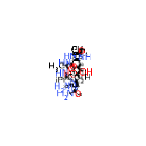 CC(C)[C@H](NC(=O)[C@H](C)NC(=O)[C@H]1N[C@H](C)C(=O)N[C@H]1CC[C@@H](O)[C@@H](O)C[C@@H]1CN(C(N)=O)C(N)=N1)C(=O)O